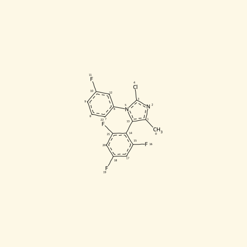 Cc1nc(Cl)n(-c2cccc(F)c2)c1-c1c(F)cc(F)cc1F